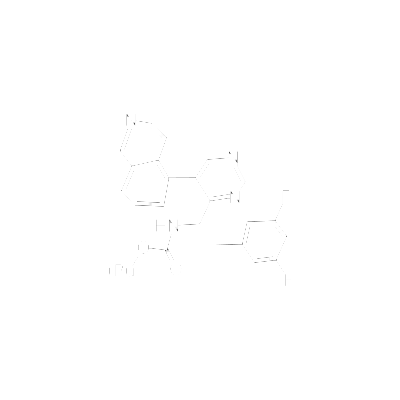 CC(C)(C)OC(=O)N[C@@H](Cc1cc(F)cc(F)c1)c1ncncc1-c1cccc2cnccc12